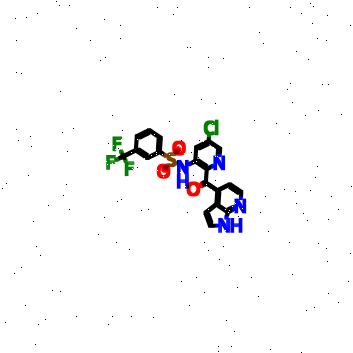 O=C(c1ncc(Cl)cc1NS(=O)(=O)c1cccc(C(F)(F)F)c1)c1ccnc2[nH]ccc12